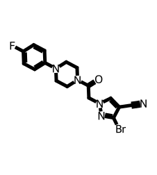 N#Cc1cn(CC(=O)N2CCN(c3ccc(F)cc3)CC2)nc1Br